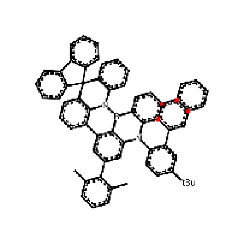 Cc1cccc(C)c1-c1cc2c3c(c1)N(c1ccc(C(C)(C)C)cc1-c1ccccc1)c1cc(-c4ccccc4)ccc1B3N1c3ccccc3C3(c4ccccc4-c4ccccc43)c3cccc-2c31